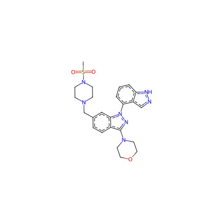 CS(=O)(=O)N1CCN(Cc2ccc3c(N4CCOCC4)nn(-c4cccc5[nH]ncc45)c3c2)CC1